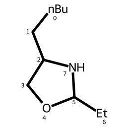 CCCCCC1COC(CC)N1